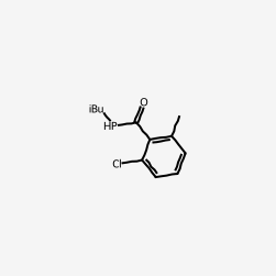 CCC(C)PC(=O)c1c(C)cccc1Cl